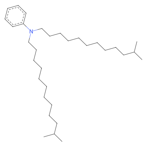 CC(C)CCCCCCCCCCN(CCCCCCCCCCC(C)C)c1ccccc1